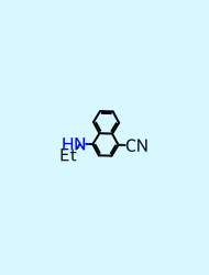 CCNc1ccc(C#N)c2ccccc12